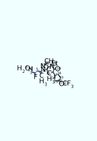 C=N/C=C(F)\C=C(/C)n1cc(N(CC)C(=O)C(C)c2ccc(OC(F)(F)F)cc2)c(C)n1